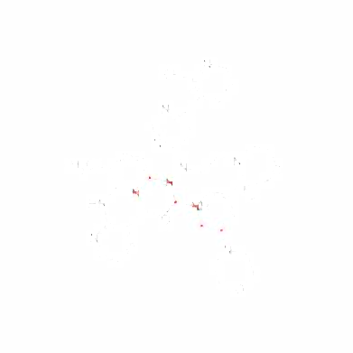 Cc1ccc(N(C(=O)c2cccc(C(F)(F)F)c2)N(CCN2CCOCC2)c2cc(-c3cccnc3Cl)ncn2)cc1Nc1ncccc1-c1cc(NCCN2CCOCC2)ncn1